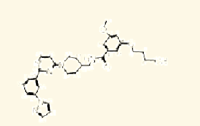 COc1cc(OCCCO)cc(C(=O)NCC2CCN(c3ccnc(-c4cccc(-n5cccn5)c4)n3)CC2)c1